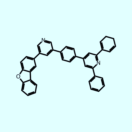 C1=CC(c2cc(-c3ccc(-c4cncc(-c5ccc6oc7ccccc7c6c5)c4)cc3)cc(-c3ccccc3)n2)=CCC1